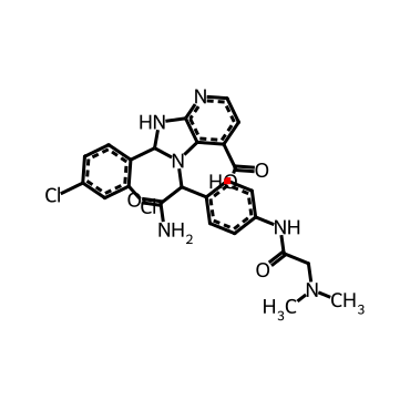 CN(C)CC(=O)Nc1ccc(C(C(N)=O)N2c3c(C(=O)O)ccnc3NC2c2ccc(Cl)cc2Cl)cc1